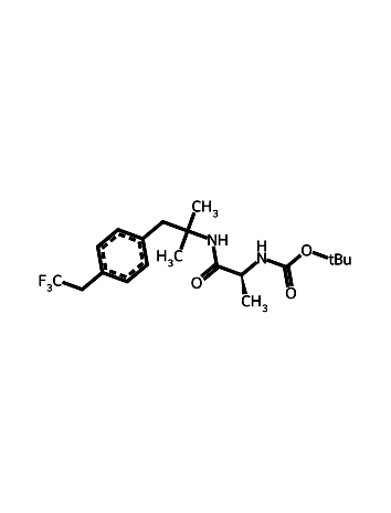 C[C@H](NC(=O)OC(C)(C)C)C(=O)NC(C)(C)Cc1ccc(CC(F)(F)F)cc1